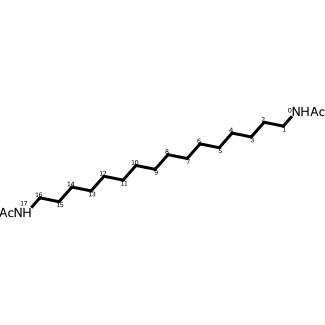 CC(=O)NCCCCCCCCCCCCCCCCNC(C)=O